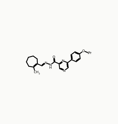 CC1=C(/C=N/NC(=O)c2cncc(-c3ccc(OC(C)C)cc3)n2)CCCCC1